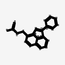 CC(=O)OCc1ccc2cccc3c2c1C=C3c1ccccc1